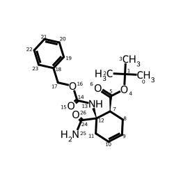 CC(C)(C)OC(=O)[C@H]1CC=CC[C@]1(NC(=O)OCc1ccccc1)C(N)=O